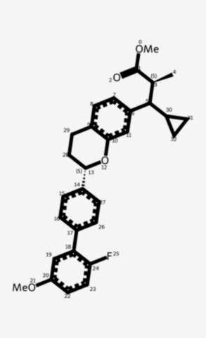 COC(=O)[C@@H](C)C(c1ccc2c(c1)O[C@H](c1ccc(-c3cc(OC)ccc3F)cc1)CC2)C1CC1